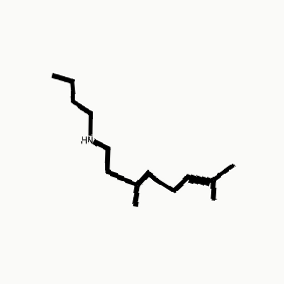 CCCCNCCC(C)CCC=C(C)C